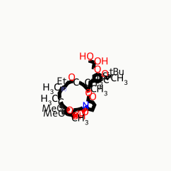 CCC1/C=C(\C)CC(C)CC(OC)C2OC(O)(C(=O)C(=O)N3CCCCC3C(=O)OC(C(C)=CC3CCC(O[Si](C)(C)C(C)(C)C)C(OCC(O)CO)C3)C(C)CCC1=O)C(C)CC2OC